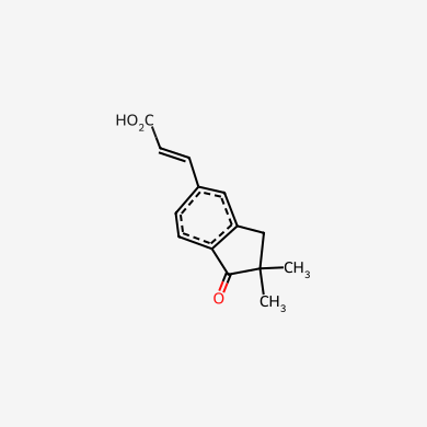 CC1(C)Cc2cc(/C=C/C(=O)O)ccc2C1=O